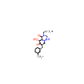 O=C(O)CN1CNn2cc(Cc3cccc(C(=O)O)c3)c(=O)c(O)c2C1=O